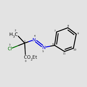 CCOC(=O)C(C)(Cl)/N=N/c1ccccc1